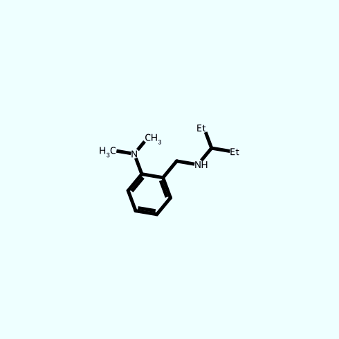 CCC(CC)NCc1ccccc1N(C)C